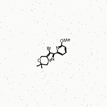 COc1cccc(-c2nn3c(c2Br)COC(C)(C)C3)n1